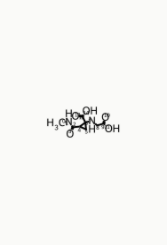 CNC(=O)C1CC1(NCC(=O)O)C(=O)O